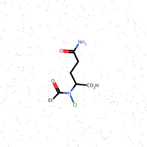 CCC(=O)N(Cl)C(CCC(N)=O)C(=O)O